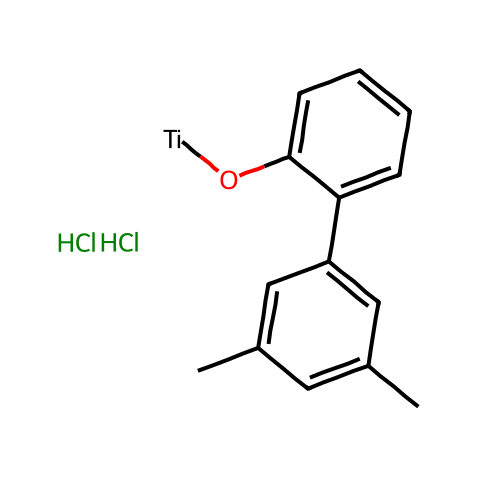 Cc1cc(C)cc(-c2ccccc2[O][Ti])c1.Cl.Cl